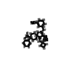 CN(C)[C@]1(c2ccccc2)CC[C@@]2(CC1)CN(Cc1cccc(C#N)c1)C(=O)N2CC1(O)CCC1